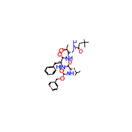 CC(=O)[C@H](CNC(=O)CC(C)(C)C)NC(=O)[C@H](Cc1ccccc1)NC(=O)[C@H](CC(C)C)NC(=O)OCc1ccccc1